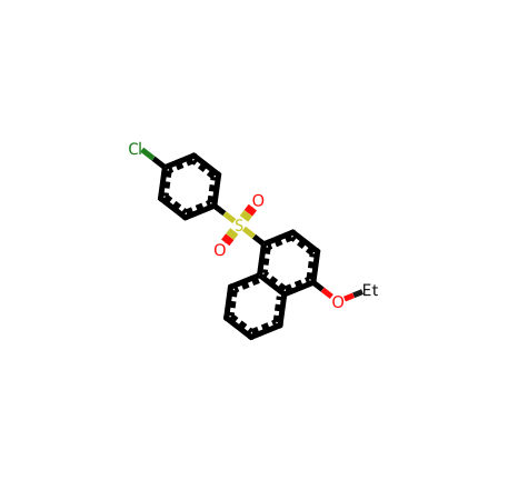 CCOc1ccc(S(=O)(=O)c2ccc(Cl)cc2)c2ccccc12